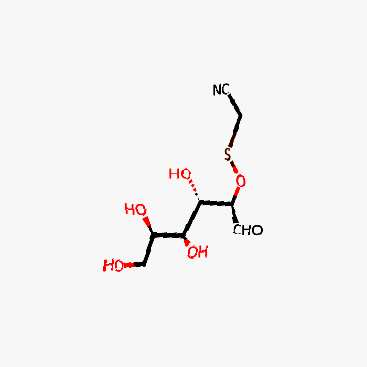 N#CCSO[C@@H](C=O)[C@@H](O)[C@@H](O)[C@H](O)CO